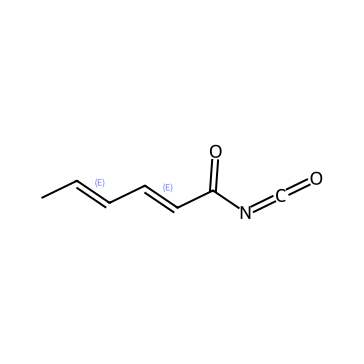 C/C=C/C=C/C(=O)N=C=O